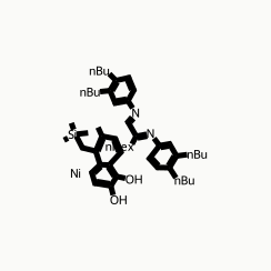 CCCCCCC(C=Nc1ccc(CCCC)c(CCCC)c1)=Nc1ccc(CCCC)c(CCCC)c1.Cc1ccc2c(O)c(O)ccc2c1C[Si](C)(C)C.[Ni]